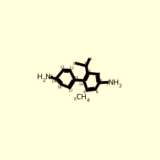 C.CC(C)c1cc(N)ccc1-c1ccc(N)cc1